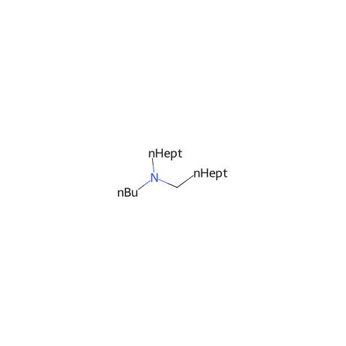 CCCCCCCCN(CCCC)CCCCCCC